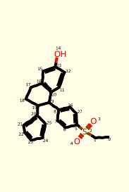 CCS(=O)(=O)c1ccc(C2c3ccc(O)cc3CCC2c2ccccc2)cc1